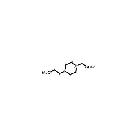 CCCCCCCN1CCN(CCOC)CC1